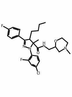 CCCCC1C(c2ccc(F)cc2)=NN(c2ccc(Cl)cc2F)C1(C)C(=O)NCC1CN(C)CCO1